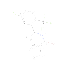 Fc1ccc(C(F)(F)F)c(-c2cc3c(c(Br)n2)CCC3)c1